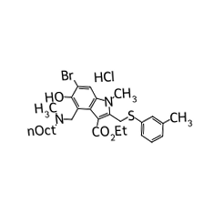 CCCCCCCCN(C)Cc1c(O)c(Br)cc2c1c(C(=O)OCC)c(CSc1cccc(C)c1)n2C.Cl